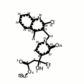 CCC(O)(CC(=O)OC(C)(C)C)c1ccn(Cc2c(Cl)nc3ccccc3c2C)c(=O)c1